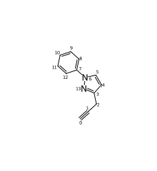 C#CCc1[c]cn(-c2ccccc2)n1